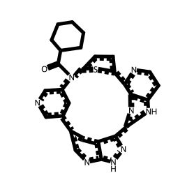 O=C(C1CCCCC1)n1c2cncc(c2)c2cnc3[nH]nc(c4nc5c(ccnc5c5ccc1s5)[nH]4)c3c2